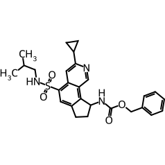 CC(C)CNS(=O)(=O)c1cc2c(c3cnc(C4CC4)cc13)C(NC(=O)OCc1ccccc1)CC2